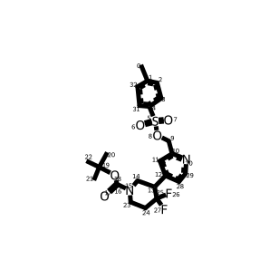 Cc1ccc(S(=O)(=O)OCc2cc(C3CN(C(=O)OC(C)(C)C)CCC3(F)F)ccn2)cc1